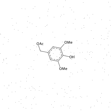 COc1cc(COC(C)=O)cc(OC)c1O